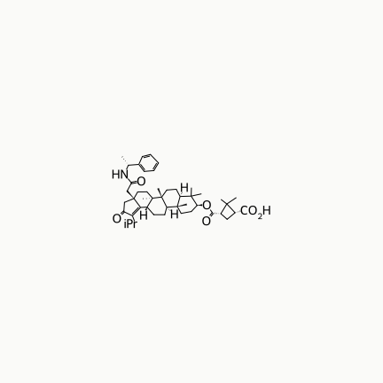 CC(C)C1=C2[C@H]3CC[C@@H]4[C@@]5(C)CC[C@H](OC(=O)[C@H]6C[C@@H](C(=O)O)C6(C)C)C(C)(C)[C@@H]5CC[C@@]4(C)[C@]3(C)CC[C@@]2(CC(=O)N[C@H](C)c2ccccc2)CC1=O